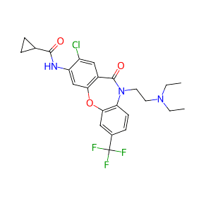 CCN(CC)CCN1C(=O)c2cc(Cl)c(NC(=O)C3CC3)cc2Oc2cc(C(F)(F)F)ccc21